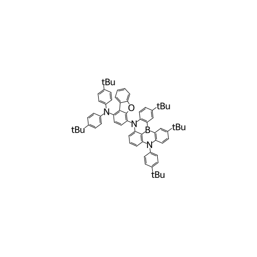 CC(C)(C)c1ccc(N2c3ccc(C(C)(C)C)cc3B3c4cc(C(C)(C)C)ccc4N(c4ccc(N(c5ccc(C(C)(C)C)cc5)c5ccc(C(C)(C)C)cc5)c5c4oc4ccccc45)c4cccc2c43)cc1